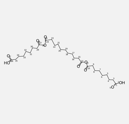 O=C(O)CCCCCCCC(=O)OC(=O)CCCCCCCCCC(=O)OC(=O)CCCCCCCC(=O)O